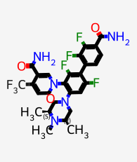 C[C@@H]1CN(c2cc(F)c(-c3ccc(C(N)=O)c(F)c3F)c(F)c2-n2cc(C(N)=O)c(C(F)(F)F)cc2=O)C[C@H](C)N1C